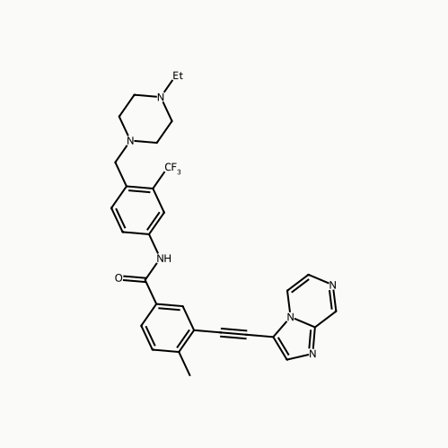 CCN1CCN(Cc2ccc(NC(=O)c3ccc(C)c(C#Cc4cnc5cnccn45)c3)cc2C(F)(F)F)CC1